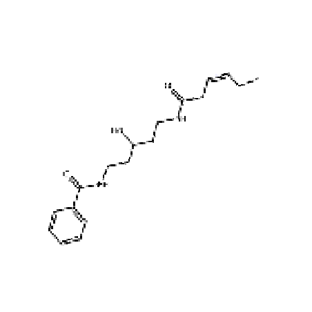 CC/C=C\CC(=O)NCCC(O)CCNC(=O)c1ccccc1